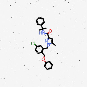 Cc1cc(C(=O)NC(C)(C)c2ccccc2)nn1Cc1cc(Cl)ccc1COc1ccccc1